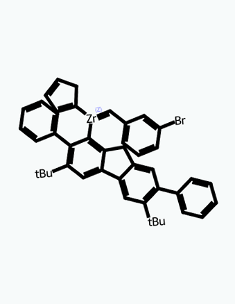 CC(C)(C)c1cc2c(cc1-c1ccccc1)Cc1c-2cc(C(C)(C)C)c(-c2ccccc2)[c]1/[Zr](=[CH]\c1cccc(Br)c1)[C]1=CC=CC1